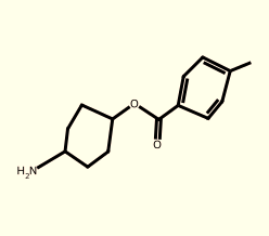 Cc1ccc(C(=O)OC2CCC(N)CC2)cc1